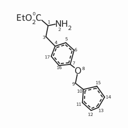 CCOC(=O)C(N)Cc1ccc(OCc2ccccc2)cc1